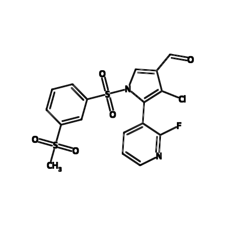 CS(=O)(=O)c1cccc(S(=O)(=O)n2cc(C=O)c(Cl)c2-c2cccnc2F)c1